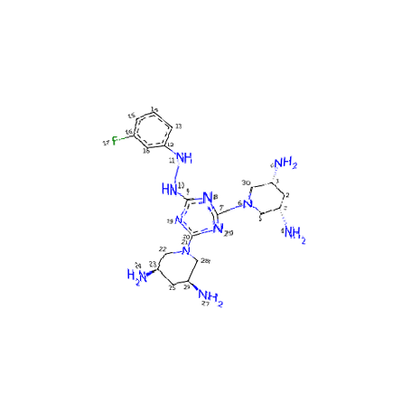 N[C@@H]1C[C@H](N)CN(c2nc(NNc3cccc(F)c3)nc(N3C[C@H](N)C[C@H](N)C3)n2)C1